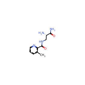 Cc1cccnc1C(=O)NC[C@H](N)C(N)=O